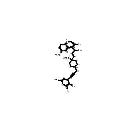 COc1ccc2ncc(F)c(C(F)CCC3(C(=O)O)CCN(CC#Cc4cc(F)cc(F)c4F)CC3)c2c1